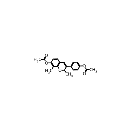 CC(=O)Oc1ccc(C2=Cc3ccc(OC(C)=O)c(C)c3OC2C)cc1